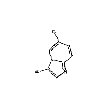 Clc1cnc2ncc(Br)n2c1